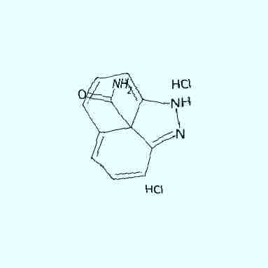 Cl.Cl.NC(=O)C12C3=CC=CC1=NNC2=CC=C3